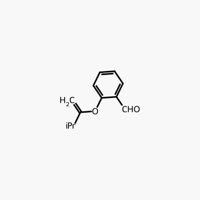 C=C(Oc1ccccc1C=O)C(C)C